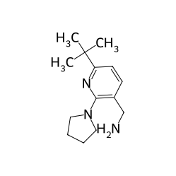 CC(C)(C)c1ccc(CN)c(N2CCCC2)n1